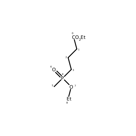 CCOC(=O)CCCP(C)(=O)OCC